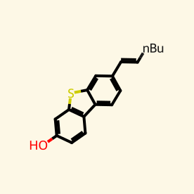 CCCC/C=C/c1ccc2c(c1)sc1cc(O)ccc12